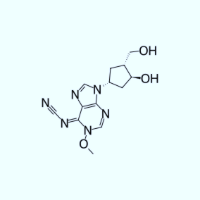 COn1cnc2c(ncn2[C@@H]2C[C@H](CO)[C@@H](O)C2)/c1=N\C#N